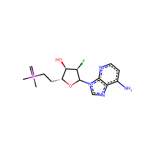 C=P(C)(C)CC[C@H]1OC(n2cnc3c(N)ccnc32)[C@H](F)[C@@H]1O